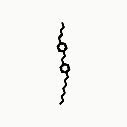 CCCC=Cc1ccc(CCc2ccc(CCCCCCCC)cc2)cc1